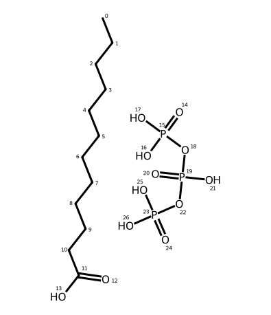 CCCCCCCCCCCC(=O)O.O=P(O)(O)OP(=O)(O)OP(=O)(O)O